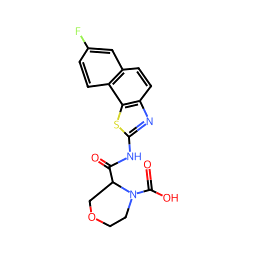 O=C(Nc1nc2ccc3cc(F)ccc3c2s1)C1COCCN1C(=O)O